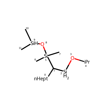 CCCCCCCC([SiH2]OC(C)C)[Si](C)(C)O[SiH](C)C